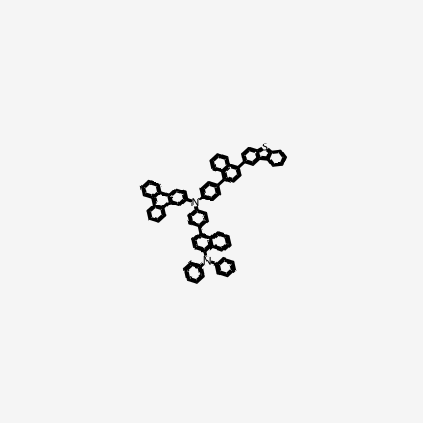 c1ccc(N(c2ccccc2)c2ccc(-c3ccc(N(c4ccc(-c5ccc(-c6ccc7sc8ccccc8c7c6)c6ccccc56)cc4)c4ccc5c6ccccc6c6ccccc6c5c4)cc3)c3ccccc23)cc1